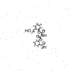 CC(C)C(=O)c1ccccc1OC(=O)NC(=O)Oc1ccccc1C(=O)O